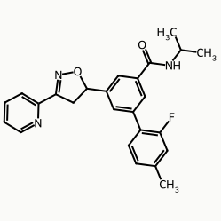 Cc1ccc(-c2cc(C(=O)NC(C)C)cc(C3CC(c4ccccn4)=NO3)c2)c(F)c1